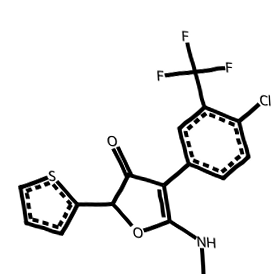 CNC1=C(c2ccc(Cl)c(C(F)(F)F)c2)C(=O)C(c2cccs2)O1